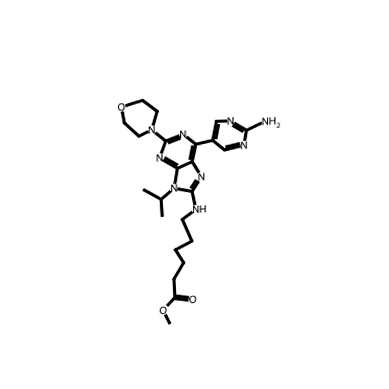 COC(=O)CCCCCNc1nc2c(-c3cnc(N)nc3)nc(N3CCOCC3)nc2n1C(C)C